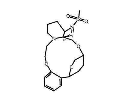 CS(=O)(=O)NC1CCCN2CCOc3ccccc3C3CCC(CC3)OC[C@@H]12